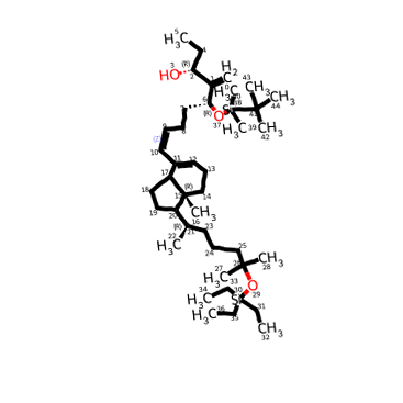 C=C([C@H](O)CC)[C@@H](CC/C=C\C1=CCC[C@@]2(C)C1CCC2[C@H](C)CCCC(C)(C)O[Si](CC)(CC)CC)O[Si](C)(C)C(C)(C)C